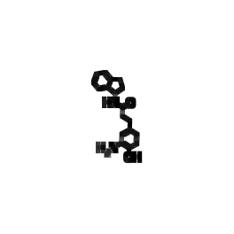 Nc1cc(CCC(=O)NC2CCc3ccccc32)ccc1O